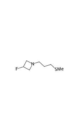 CSCCCN1CC(F)C1